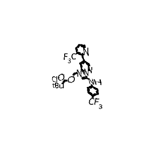 CC(C)(C)C(=O)OC[n+]1cc(Nc2ccc(C(F)(F)F)cc2)n2ncc(-c3ncccc3C(F)(F)F)cc21.[Cl-]